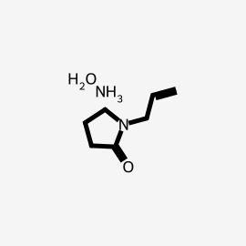 C=CCN1CCCC1=O.N.O